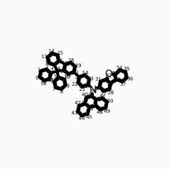 c1ccc(C2(c3ccccc3)c3ccccc3-c3ccc(-c4ccc(N(c5ccc6c(c5)oc5ccccc56)c5cc6ccccc6c6ccccc56)cc4)cc32)cc1